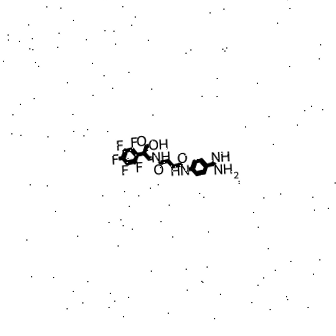 N=C(N)c1ccc(NC(=O)CCC(=O)NCC(C(=O)O)c2c(F)c(F)c(F)c(F)c2F)cc1